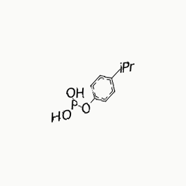 CC(C)c1ccc(OP(O)O)cc1